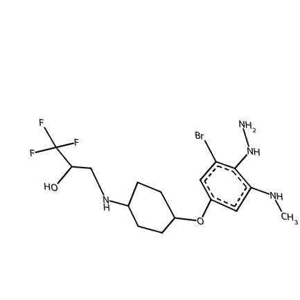 CNc1cc(OC2CCC(NCC(O)C(F)(F)F)CC2)cc(Br)c1NN